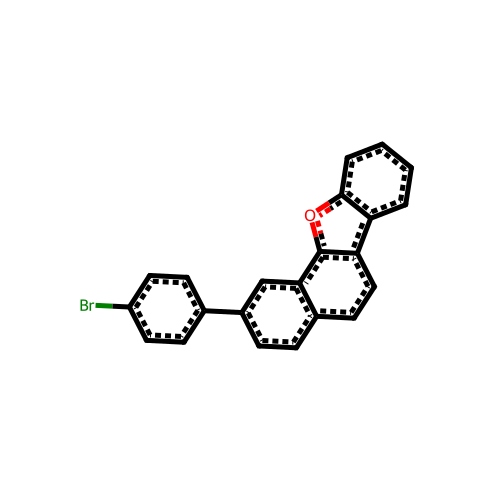 Brc1ccc(-c2ccc3ccc4c5ccccc5oc4c3c2)cc1